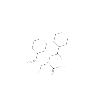 NC(C(=O)C1CCOCC1)N(CC(=O)C1CCOCC1)C(=O)O